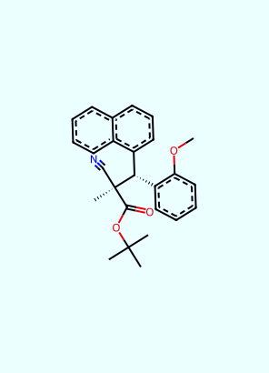 COc1ccccc1[C@@H](c1cccc2ccccc12)[C@](C)(C#N)C(=O)OC(C)(C)C